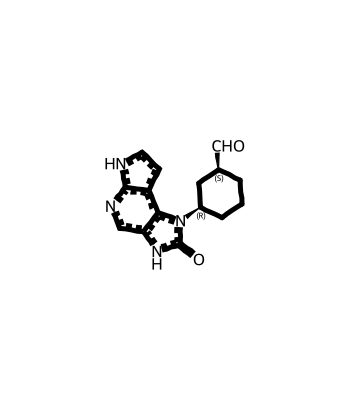 O=C[C@H]1CCC[C@@H](n2c(=O)[nH]c3cnc4[nH]ccc4c32)C1